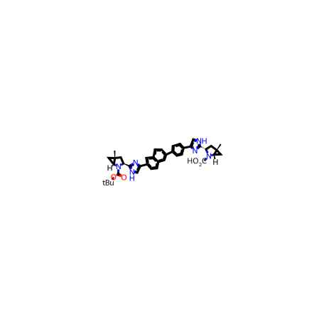 CC(C)(C)OC(=O)N1[C@H]2C[C@]2(C)C[C@H]1c1nc(-c2ccc3cc(-c4ccc(-c5c[nH]c([C@@H]6C[C@]7(C)C[C@@H]7N6C(=O)O)n5)cc4)ccc3c2)c[nH]1